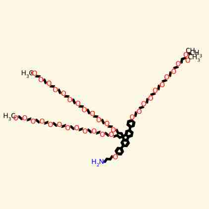 COCCOCCOCCOCCOCCOCCOCCOCCOCCOCCOCCOCCCC1(CCCOCCOCCOCCOCCOCCOCCOCCOCCOCCOCCOCCOC)c2cc(-c3ccc(OCCCCN)cc3)ccc2-c2ccc(-c3ccc(OCCOCCOCCOCCOCCOCCOCCOCCOCCC(=O)OC(C)(C)C)cc3)cc21